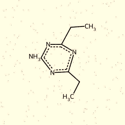 CCc1ncnc(CC)n1.N